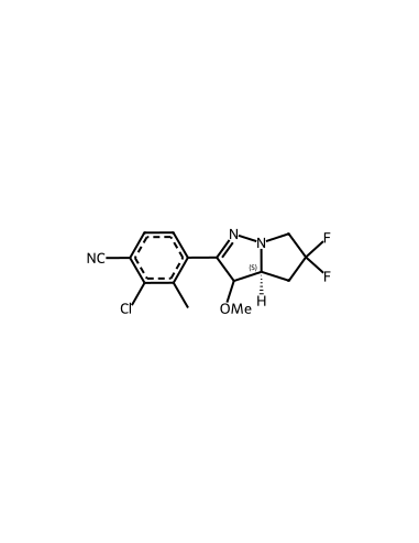 COC1C(c2ccc(C#N)c(Cl)c2C)=NN2CC(F)(F)C[C@@H]12